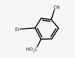 CCc1cc(C#N)ccc1C(=O)O